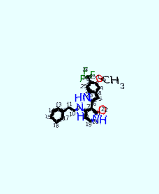 COc1cc2cc(-c3c(NCCc4ccccc4)cc[nH]c3=O)[nH]c2cc1C(F)(F)F